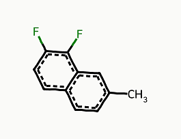 Cc1ccc2ccc(F)c(F)c2c1